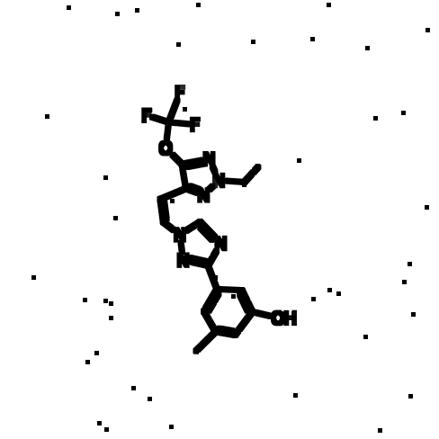 CCn1nc(/C=C\n2cnc(-c3cc(C)cc(O)c3)n2)c(OC(F)(F)F)n1